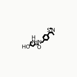 Cc1ncsc1-c1ccc(CNC(=O)[C@H]2C[C@@H](O)CN2)cc1